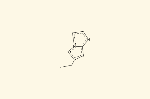 CCc1cn2ccnc2s1